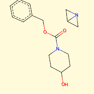 C1C2CN12.O=C(OCc1ccccc1)N1CCC(O)CC1